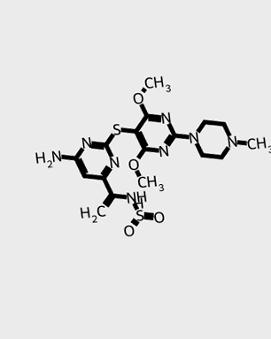 C=C(N[SH](=O)=O)c1cc(N)nc(Sc2c(OC)nc(N3CCN(C)CC3)nc2OC)n1